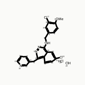 COc1ccc(CNc2nnc(Cc3cccnc3)c3ccc(Cl)cc23)cc1Cl.Cl.Cl